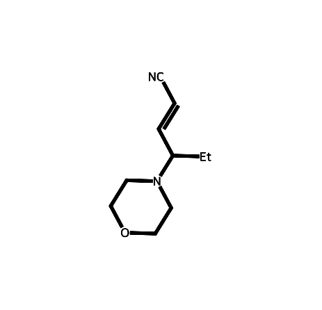 CCC(C=CC#N)N1CCOCC1